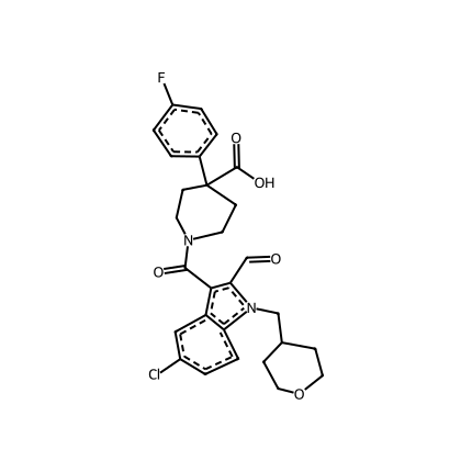 O=Cc1c(C(=O)N2CCC(C(=O)O)(c3ccc(F)cc3)CC2)c2cc(Cl)ccc2n1CC1CCOCC1